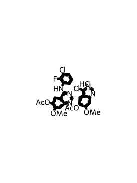 COc1cc2ncnc(Cl)c2cc1OC(C)=O.COc1cc2ncnc(Nc3cccc(Cl)c3F)c2cc1OC(C)=O.Cl